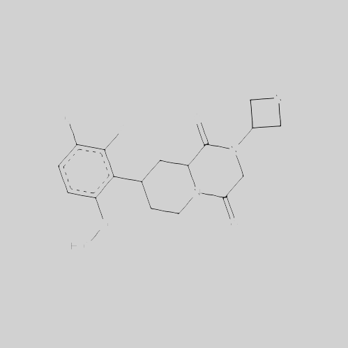 COc1ccc(Cl)c(Cl)c1C1CCN2C(=O)CN(C3CNC3)C(=O)C2C1